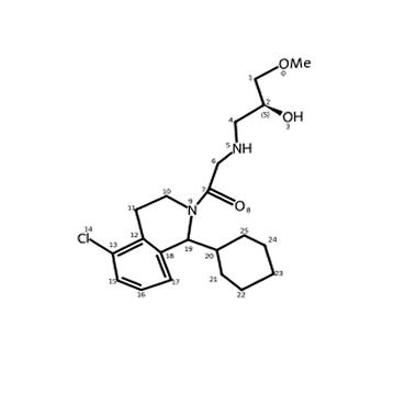 COC[C@@H](O)CNCC(=O)N1CCc2c(Cl)cccc2C1C1CCCCC1